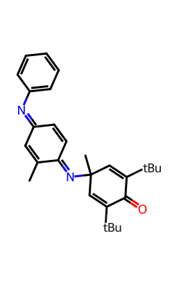 CC1=CC(=Nc2ccccc2)C=CC1=NC1(C)C=C(C(C)(C)C)C(=O)C(C(C)(C)C)=C1